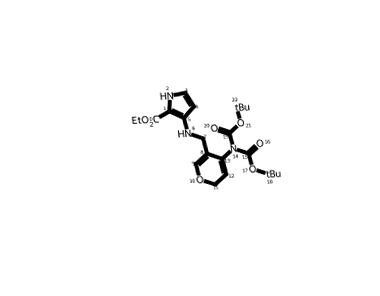 CCOC(=O)c1[nH]ccc1NCC1=COCC=C1N(C(=O)OC(C)(C)C)C(=O)OC(C)(C)C